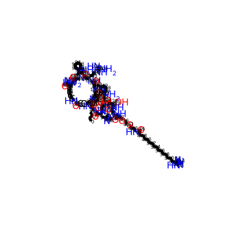 CCCC[C@H](NC(=O)[C@H](Cc1c[nH]cn1)NC(=O)[C@H](CCC(N)=O)NC(=O)[C@H](CO)NC(=O)CNC(=O)COCCOCCNC(=O)CCCCCCCCCCCCCCCc1nnn[nH]1)C(=O)N[C@H]1CCC(=O)NCCCC[C@@H](C(N)=O)NC(=O)[C@H](Cc2c[nH]c3ccccc23)NC(=O)[C@H](CCCNC(=N)N)NC(=O)[C@@H](Cc2ccccc2)NC(=O)[C@@H]2C[C@@H](O)CN2C1=O